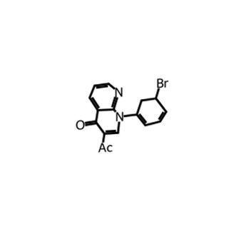 CC(=O)c1cn(C2=CC=CC(Br)C2)c2ncccc2c1=O